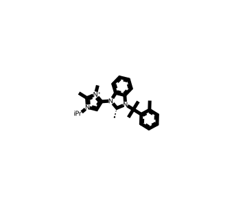 Cc1ccccc1C(C)(C)N1c2ccccc2N(c2cn(C(C)C)c(C)[n+]2C)[C@H]1C